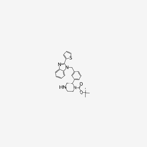 CC(C)(C)OC(=O)N1CCNCC1c1cccc(Cn2c(-c3cccs3)nc3ccccc32)c1